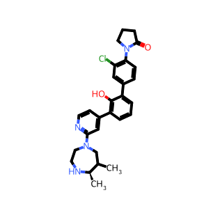 CC1CN(c2cc(-c3cccc(-c4ccc(N5CCCC5=O)c(Cl)c4)c3O)ccn2)CCN[C@@H]1C